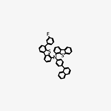 Fc1cccc(-c2cccc3c2sc2c(N(c4ccc(-c5cccc6ccccc56)cc4)c4cccc5c4sc4ccccc45)cccc23)c1